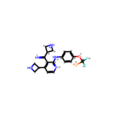 N=C(c1c(C2CNC2)ccnc1Nc1ccc(OC(F)(F)P)cc1)C1CNC1